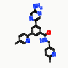 Cc1ccc(-c2cc(C(=O)NCc3ccc(C)nc3)cc(-c3cnc(N)cn3)c2)nc1